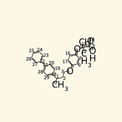 CC(CCOc1ccc(OC(C)(C)C(=O)O)cc1)c1ccc(-c2ccccc2)cc1